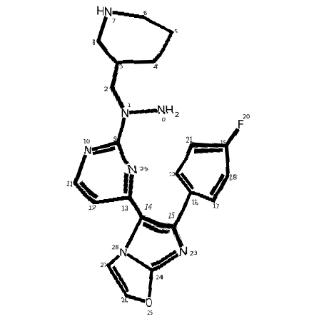 NN(CC1CCCNC1)c1nccc(-c2c(-c3ccc(F)cc3)nc3occn23)n1